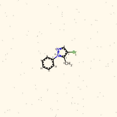 Cc1c(Br)cnn1-c1ccccc1